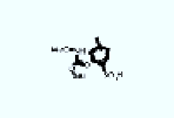 CONC(=O)OC(C)(C)C.Cc1ccc(S(=O)(=O)O)cc1